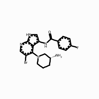 N[C@@H]1CCCN(c2c(Br)cnc3[nH]cc(NC(=O)c4ccc(F)cc4)c23)C1